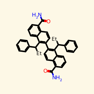 CCC(c1ccccc1)c1c(-c2ccc3c(C(N)=O)cccc3c2C(CC)c2ccccc2)ccc2c(C(N)=O)cccc12